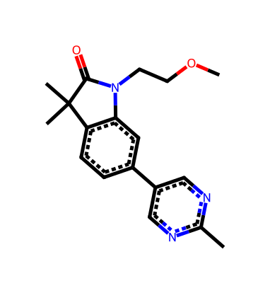 COCCN1C(=O)C(C)(C)c2ccc(-c3cnc(C)nc3)cc21